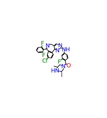 CC1CN(C(=O)c2ccc(Nc3ncc4c(n3)-c3ccc(Cl)cc3C(c3c(F)cccc3F)=NC4)cc2F)CC(I)N1